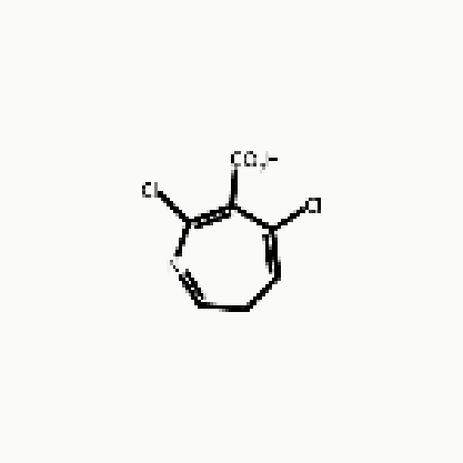 O=C(O)C1=C(Cl)N=CCC=C1Cl